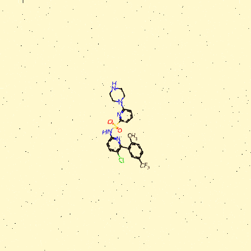 Cc1ccc(C(F)(F)F)cc1-c1nc(NS(=O)(=O)c2cccc(N3CCNCC3)n2)ccc1Cl